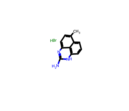 Br.Cc1ccc2c3c(cccc13)NC(N)=N2